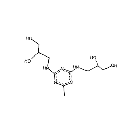 Cc1nc(NCC(O)CO)nc(NCC(O)CO)n1